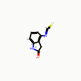 O=C1Cc2c(N=C=S)cccc2N1